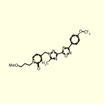 COCCCn1ccc(Cn2nc(-c3nc(-c4ccc(OC(F)(F)F)cc4)no3)nc2C)cc1=O